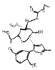 CO[C@@H]1C(NNC(=O)OC(C)(C)C)C(O)[C@H](c2nc(C)nn2-c2cc(Cl)ccc2C(F)(F)F)OC1C(C)O